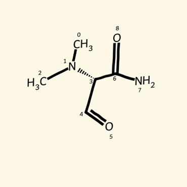 CN(C)[C@@H](C=O)C(N)=O